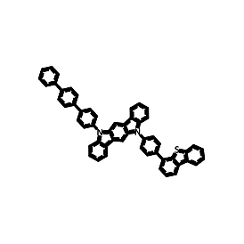 c1ccc(-c2ccc(-c3ccc(-n4c5ccccc5c5cc6c(cc54)c4ccccc4n6-c4ccc(-c5cccc6c5sc5ccccc56)cc4)cc3)cc2)cc1